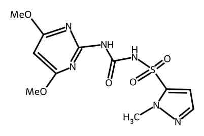 COc1cc(OC)nc(NC(=O)NS(=O)(=O)c2ccnn2C)n1